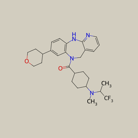 CC(N(C)C1CCC(C(=O)N2Cc3cccnc3Nc3ccc(C4CCOCC4)cc32)CC1)C(F)(F)F